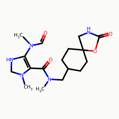 CN(C=O)C1=C(C(=O)N(C)CC2CCC3(CC2)CNC(=O)O3)N(C)CN1